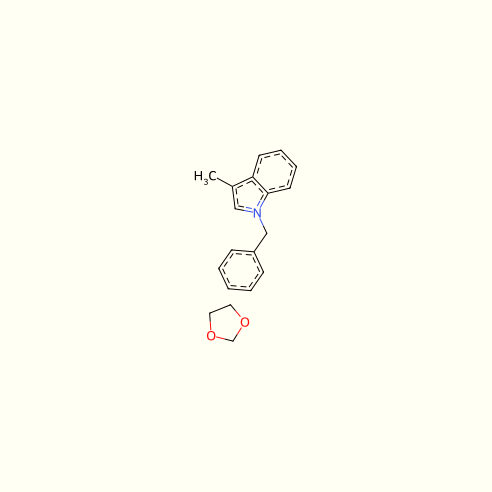 C1COCO1.Cc1cn(Cc2ccccc2)c2ccccc12